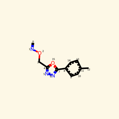 C=NOCc1nnc(-c2ccc(C)cc2)o1